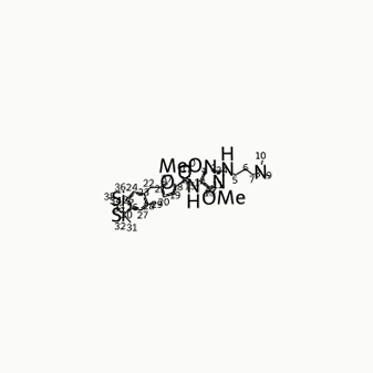 COc1nc(NCCCN(C)C)nc(OC)c1NC(=O)c1ccc(Cc2cc3c(cc2C)[Si](C)(C)C[Si]3(C)C)o1